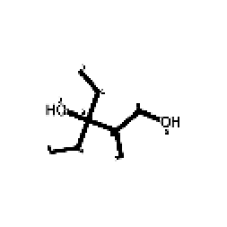 CCC(O)(CC)C(C)CO